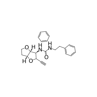 C#CC1O[C@@H]2CCO[C@@H]2[C@H]1NC(=O)NCCc1ccccc1.c1ccccc1